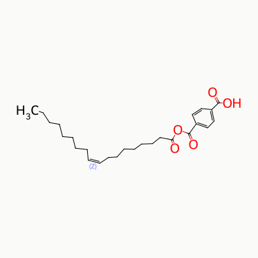 CCCCCCCC/C=C\CCCCCCCC(=O)OC(=O)c1ccc(C(=O)O)cc1